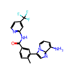 Cc1ccc(C(=O)Nc2cc(C(F)(F)F)ccn2)cc1-c1cnc2c(N)cccn12